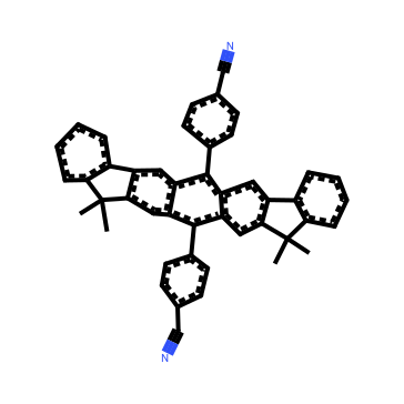 CC1(C)c2ccccc2-c2cc3c(-c4ccc(C#N)cc4)c4cc5c(cc4c(-c4ccc(C#N)cc4)c3cc21)C(C)(C)c1ccccc1-5